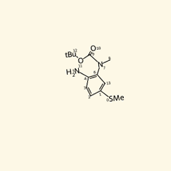 CSc1ccc(N)c(N(C)C(=O)OC(C)(C)C)c1